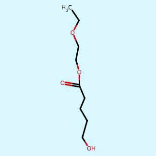 CCOCCOC(=O)CCCCO